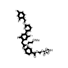 COCCn1c(Cc2cc(F)c(-c3cccc(OCc4ccc(C)cc4F)n3)cc2F)nc2ccc(C(=O)OCOP3(=O)ONO3)cc21